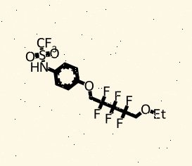 CCOCC(F)(F)C(F)(F)C(F)(F)COc1ccc(NS(=O)(=O)C(F)(F)F)cc1